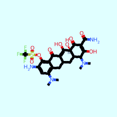 CN(C)c1cc(N)c(OS(=O)(=O)C(F)(F)F)c2c1CC1CC3C(N(C)C)C(O)=C(C(N)=O)C(=O)[C@@]3(O)C(O)=C1C2=O